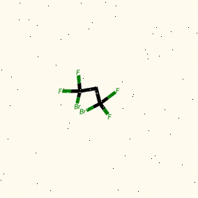 FC(F)(Br)CC(F)(F)Br